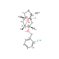 C[C@]12C[C@H](OCc3ccccc3F)[C@]3(C)C[C@@H]1CC[C@@H]2O3